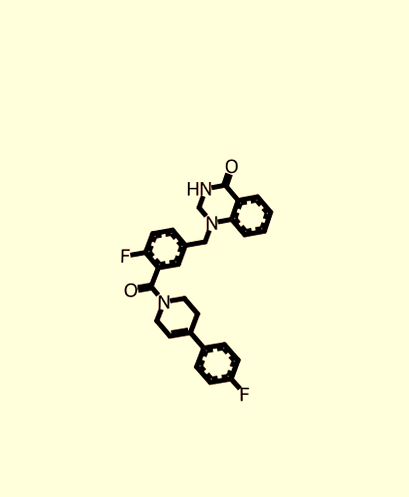 O=C1NCN(Cc2ccc(F)c(C(=O)N3CC=C(c4ccc(F)cc4)CC3)c2)c2ccccc21